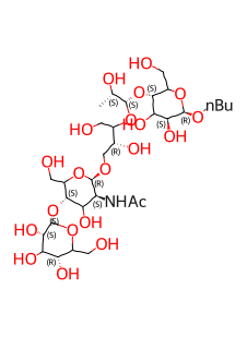 CCCCO[C@@H]1OC(CO)[C@@H](O[C@H](OC(CO)[C@H](O)CO[C@@H]2OC(CO)[C@@H](O[C@@H]3OC(CO)[C@H](O)C(O)[C@@H]3O)C(O)[C@@H]2NC(C)=O)[C@H](C)O)C(O)[C@@H]1O